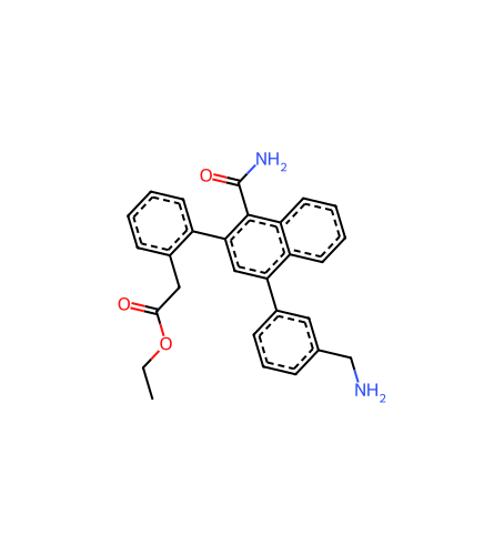 CCOC(=O)Cc1ccccc1-c1cc(-c2cccc(CN)c2)c2ccccc2c1C(N)=O